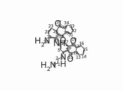 NCCNc1cccc2c1C(=O)c1ccccc1C2=O.Nc1ccc2c(c1N)C(=O)c1ccccc1C2=O